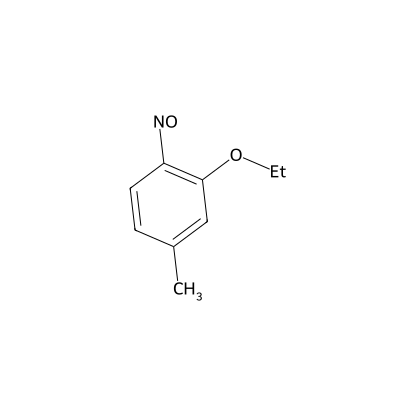 CCOc1cc(C)ccc1N=O